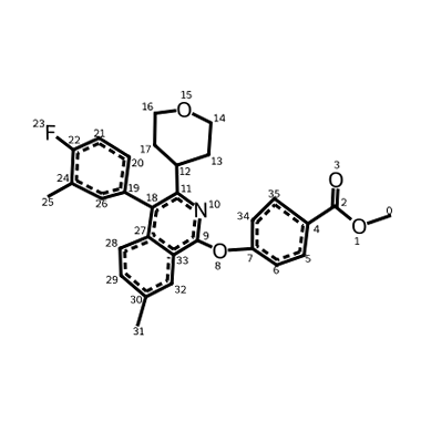 COC(=O)c1ccc(Oc2nc(C3CCOCC3)c(-c3ccc(F)c(C)c3)c3ccc(C)cc23)cc1